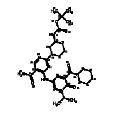 CC(C)n1cc(Nc2nc(N3CCC[C@H](NC(=O)OC(C)(C)C)C3)ncc2C(N)=O)cc(C(=O)N2CCCCC2)c1=O